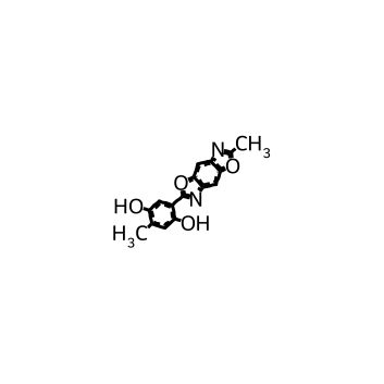 Cc1nc2cc3oc(-c4cc(O)c(C)cc4O)nc3cc2o1